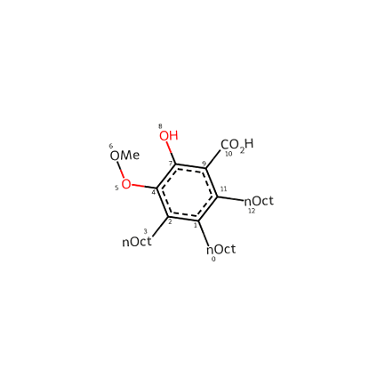 CCCCCCCCc1c(CCCCCCCC)c(OOC)c(O)c(C(=O)O)c1CCCCCCCC